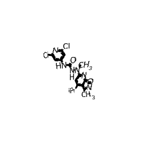 Cc1noc2nc(N(C)NC(=O)Nc3cc(Cl)nc(Cl)c3)cc(C(C)C)c12